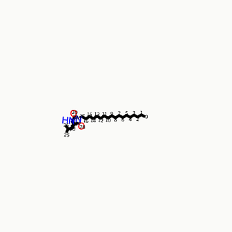 CCCCCCCCCCCCCCCCCCN1C(=O)NC(=CC(C)C)C1=O